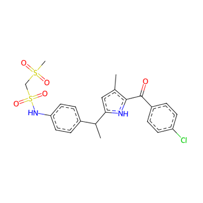 Cc1cc(C(C)c2ccc(NS(=O)(=O)CS(C)(=O)=O)cc2)[nH]c1C(=O)c1ccc(Cl)cc1